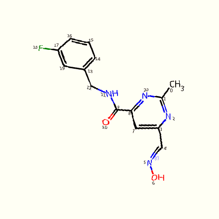 Cc1nc(/C=N/O)cc(C(=O)NCc2cccc(F)c2)n1